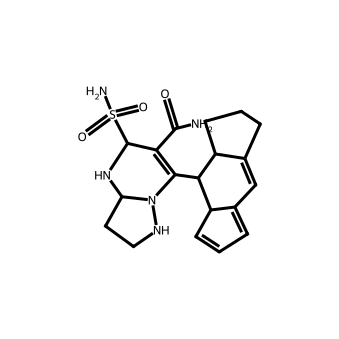 NC(=O)C1=C(C2C3C=CC=C3C=C3CCCC32)N2NCCC2NC1S(N)(=O)=O